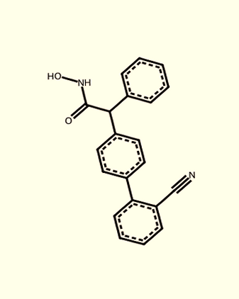 N#Cc1ccccc1-c1ccc(C(C(=O)NO)c2ccccc2)cc1